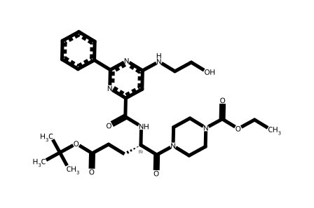 CCOC(=O)N1CCN(C(=O)[C@H](CCC(=O)OC(C)(C)C)NC(=O)c2cc(NCCO)nc(-c3ccccc3)n2)CC1